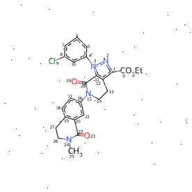 CCOC(=O)c1nn(-c2cccc(Cl)c2)c2c1CCN(c1ccc3c(c1)C(=O)N(C)CC3)C2=O